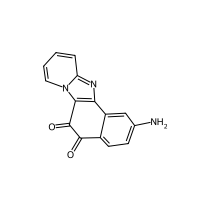 Nc1ccc2c(c1)-c1nc3ccccn3c1C(=O)C2=O